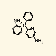 Nc1ccc(Oc2ccccc2)nc1.Nc1ccccc1